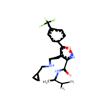 CC(C)C(C)NC(=O)c1noc(-c2ccc(C(F)(F)F)cc2)c1CNCC1CC1